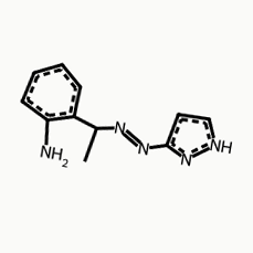 CC(/N=N/c1cc[nH]n1)c1ccccc1N